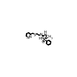 CNC(=NCCSCc1cccnn1)NS(=O)(=O)c1ccccc1